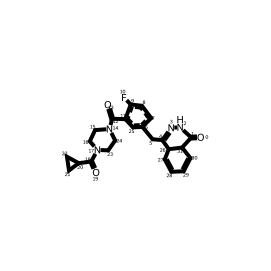 O=C1NN=C(Cc2ccc(F)c(C(=O)N3CCN(C(=O)C4CC4)CC3)c2)C2C=CC=CC12